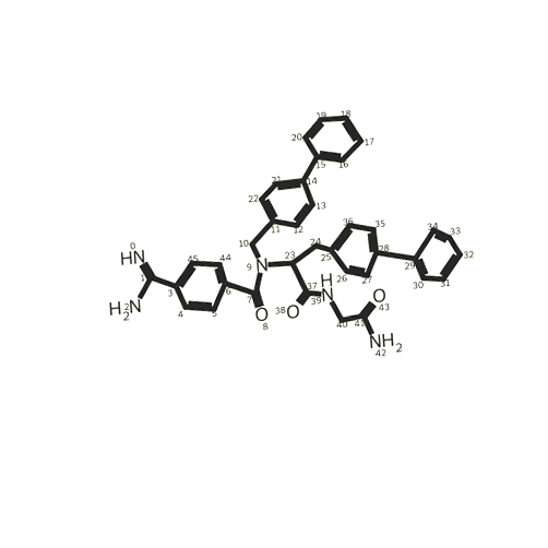 N=C(N)c1ccc(C(=O)N(Cc2ccc(-c3ccccc3)cc2)C(Cc2ccc(-c3ccccc3)cc2)C(=O)NCC(N)=O)cc1